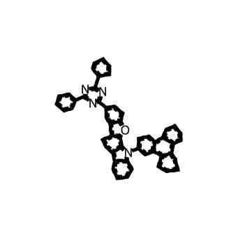 c1ccc(-c2nc(-c3ccccc3)nc(-c3ccc4oc5c(ccc6c7ccccc7n(-c7ccc8c9ccccc9c9ccccc9c8c7)c65)c4c3)n2)cc1